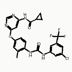 Cc1cc(Oc2cc(NC(=O)C3CC3)ncn2)ccc1NC(=O)Nc1cc(Cl)cc(C(F)(F)F)c1